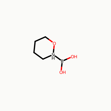 OB(O)[SiH]1CCCCO1